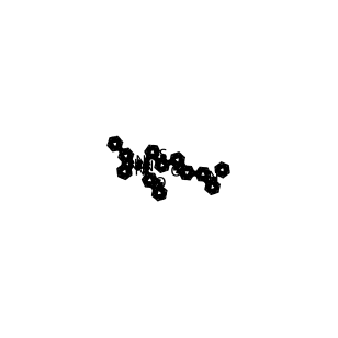 c1ccc(-c2ccc3c(c2)c2ccccc2n3-c2nc(-c3ccc4c(c3)oc3ccccc34)nc(-c3cccc4sc5c(-c6cccc7c6oc6ccc(-c8ccc9c(c8)c8ccccc8n9-c8ccccc8)cc67)cccc5c34)n2)cc1